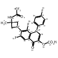 CC1(NC(=O)C(F)(F)F)CN(c2c(F)cc3c(=O)c(OC(=O)O)cn(-c4ccc(F)cc4)c3c2F)C1